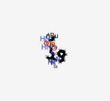 C=CC(NCCCC)S(=O)(=O)NC(=O)/C=C/c1c(C)nn(C)c1-n1ccc2ccccc21